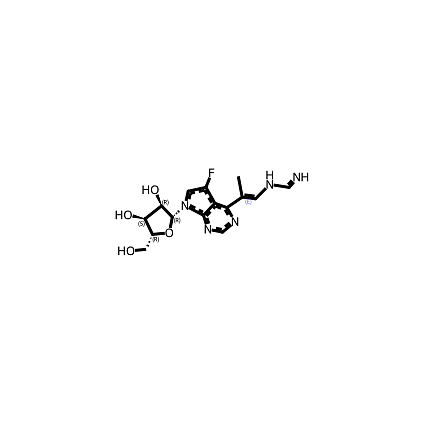 C/C(=C\NC=N)c1ncnc2c1c(F)cn2[C@@H]1O[C@H](CO)[C@@H](O)[C@H]1O